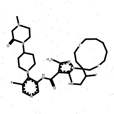 CN1CCN(C2CCN(c3c(F)cncc3NC(=O)c3c(N)nn4c3NCC(F)C43CCCCCCCCCC3)CC2)C(=O)C1